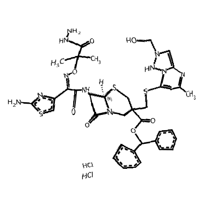 CC1=NC2=CN(CO)NN2C(SCC2(C(=O)OC(c3ccccc3)c3ccccc3)CS[C@@H]3C(NC(=O)C(=NOC(C)(C)C(=O)NN)c4csc(N)n4)C(=O)N3C2)=C1.Cl.Cl